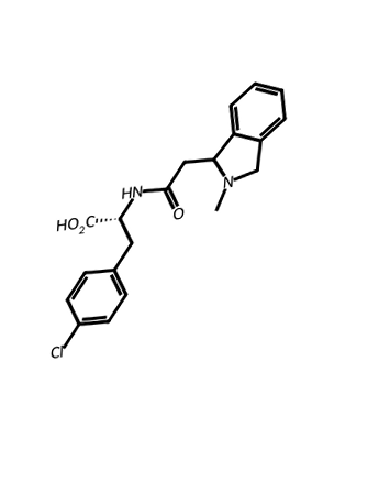 CN1Cc2ccccc2C1CC(=O)N[C@H](Cc1ccc(Cl)cc1)C(=O)O